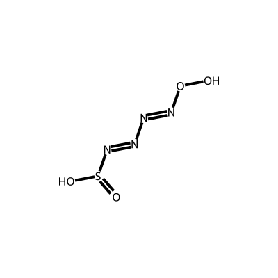 O=S(O)/N=N/N=N/OO